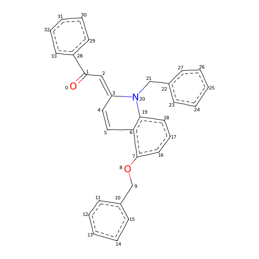 O=C(/C=C1\C=Cc2c(OCc3ccccc3)cccc2N1Cc1ccccc1)c1ccccc1